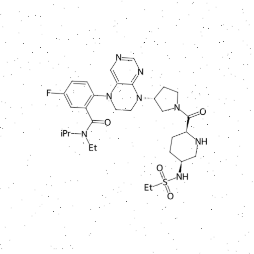 CCN(C(=O)c1cc(F)ccc1N1CCN([C@@H]2CCN(C(=O)[C@@H]3CC[C@H](NS(=O)(=O)CC)CN3)C2)c2ncncc21)C(C)C